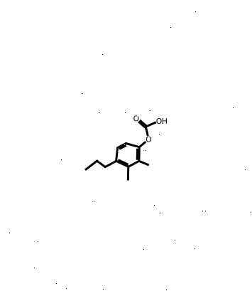 CCCc1ccc(OC(=O)O)c(C)c1C